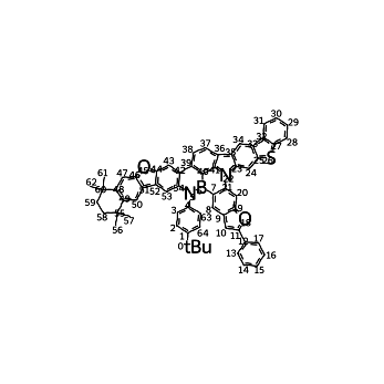 CC(C)(C)c1ccc(N2B3c4cc5cc(-c6ccccc6)oc5cc4-n4c5cc6sc7ccccc7c6cc5c5ccc(c3c54)-c3cc4oc5cc6c(cc5c4cc32)C(C)(C)CCC6(C)C)cc1